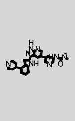 CN(C)C(=O)Nc1cncc(-c2cnc3[nH]nc(-c4cc5c(C6C=CN=CC6)cccc5[nH]4)c3c2)c1